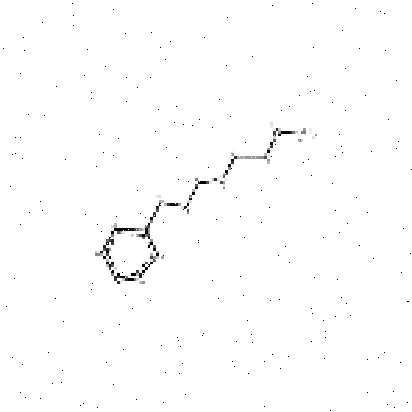 [SiH3]OCCOCCCc1ccccc1